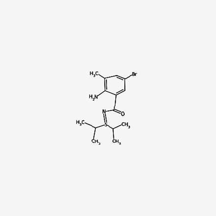 Cc1cc(Br)cc(C(=O)N=S(C(C)C)C(C)C)c1N